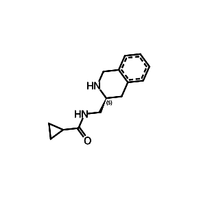 O=C(NC[C@@H]1Cc2ccccc2CN1)C1CC1